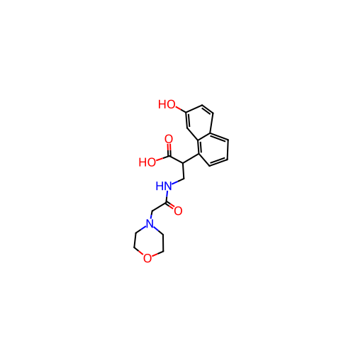 O=C(CN1CCOCC1)NCC(C(=O)O)c1cccc2ccc(O)cc12